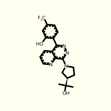 CC(C)(O)[C@@H]1CCN(c2nnc(-c3ccc(C(F)(F)F)cc3O)c3cccnc23)C1